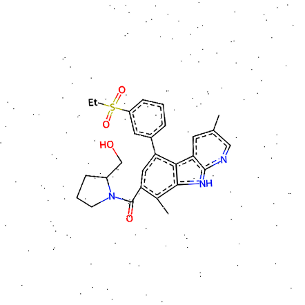 CCS(=O)(=O)c1cccc(-c2cc(C(=O)N3CCCC3CO)c(C)c3[nH]c4ncc(C)cc4c23)c1